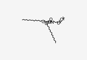 CCCCCCCCCCCCCCOCC(COC(=O)NCCCOC(C)(C)COC(C)(C)C)OCCCCCCCCCCCCCC